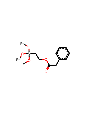 CCO[Si](CCOC(=O)Cc1ccccc1)(OCC)OCC